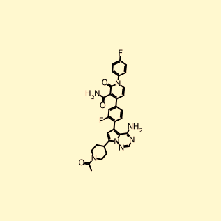 CC(=O)N1CCC(c2cc(-c3ccc(-c4ccn(-c5ccc(F)cc5)c(=O)c4C(N)=O)cc3F)c3c(N)ncnn23)CC1